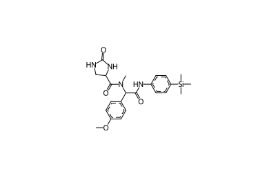 COc1ccc(C(C(=O)Nc2ccc([Si](C)(C)C)cc2)N(C)C(=O)C2CNC(=O)N2)cc1